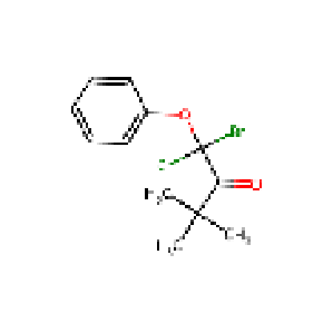 CC(C)(C)C(=O)C(Cl)(Br)Oc1ccccc1